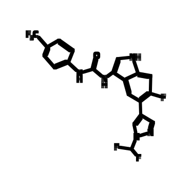 O=C(Nc1ccc(C(F)(F)F)cc1)Nc1c[nH]c2cc(F)c(-c3cnn(C(F)F)c3)cc12